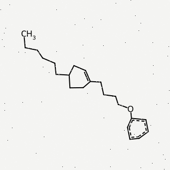 CCCCCCC1CC=C(CCCCOc2ccccc2)CC1